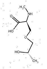 CN[C@@H](COC[C@H](C)O)C(=O)O